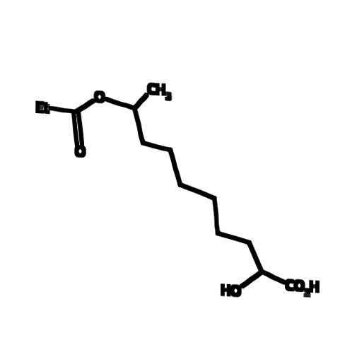 CCC(=O)OC(C)CCCCCCC(O)C(=O)O